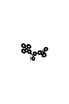 C1=CCC(c2cc(-c3ccc4c(c3)c3ccccc3n4-c3ccccc3)ccc2Nc2ccc3c(c2)-c2ccccc2C3(c2ccccc2)c2ccccc2)C=C1